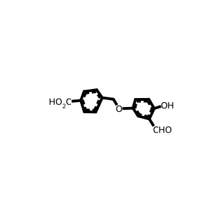 O=Cc1cc(OCc2ccc(C(=O)O)cc2)ccc1O